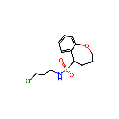 O=S(=O)(NCCCCl)C1CCCOc2ccccc21